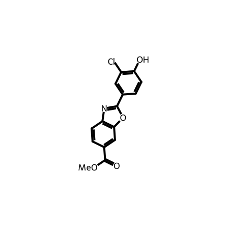 COC(=O)c1ccc2nc(-c3ccc(O)c(Cl)c3)oc2c1